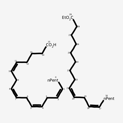 CCCCC/C=C\C/C=C\C/C=C\C/C=C\CCCC(=O)O.CCCCC/C=C\C/C=C\CCCCCCCC(=O)OCC